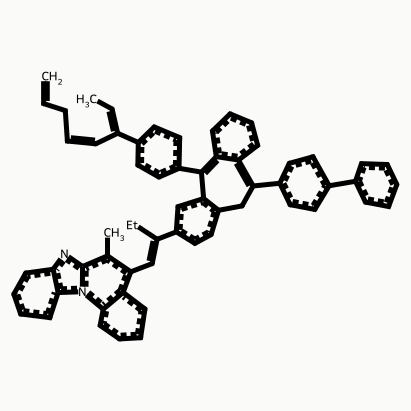 C=CC/C=C\C(=C/C)c1ccc(C2=c3ccccc3=C(c3ccc(-c4ccccc4)cc3)Cc3ccc(/C(=C/c4c(C)c5nc6ccccc6n5c5ccccc45)CC)cc32)cc1